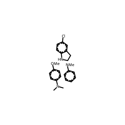 CNc1ccccc1.COc1ccc(N(C)C)cc1.Clc1ccc2c(c1)CCN2